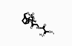 C=C(C)C(=O)NCC(=O)OC1C2CC3C1OS(=O)(=O)C3(C(F)(F)F)C2